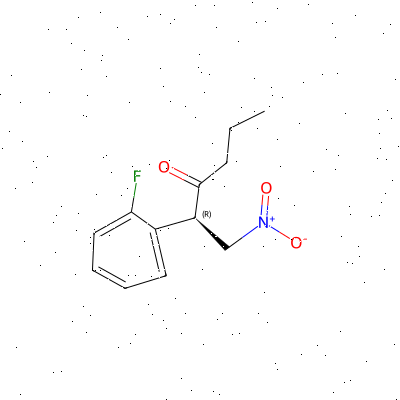 CCCC(=O)[C@@H](C[N+](=O)[O-])c1ccccc1F